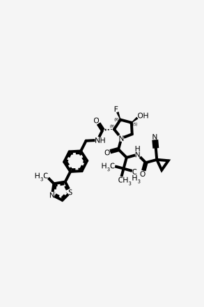 Cc1ncsc1-c1ccc(CNC(=O)[C@@H]2[C@@H](F)[C@@H](O)CN2C(=O)C(NC(=O)C2(C#N)CC2)C(C)(C)C)cc1